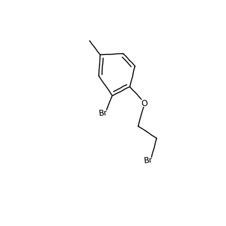 Cc1ccc(OCCBr)c(Br)c1